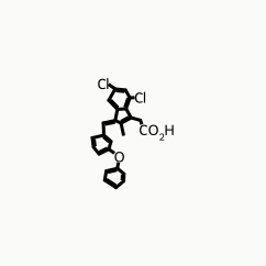 CC1=C(CC(=O)O)c2c(Cl)cc(Cl)cc2/C1=C/c1cccc(Oc2ccccc2)c1